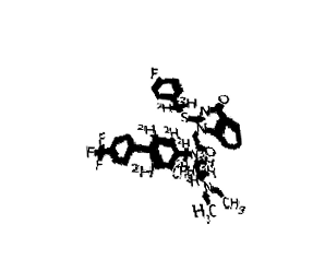 [2H]c1c([2H])c(C([2H])([2H])N(C(=O)Cn2c(SC([2H])([2H])c3ccc(F)cc3)nc(=O)c3c2CCC3)C([2H])([2H])C([2H])([2H])N(CC)CC)c(C)c([2H])c1-c1ccc(C(F)(F)F)cc1